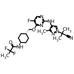 Cc1nn(C(C)(C)C#N)cc1Nc1ncc(F)c(OC[C@H]2CC[C@H](NC(=O)C(C)(F)F)CC2)n1